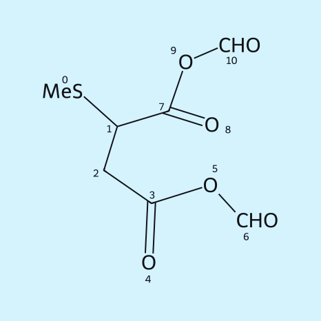 CSC(CC(=O)OC=O)C(=O)OC=O